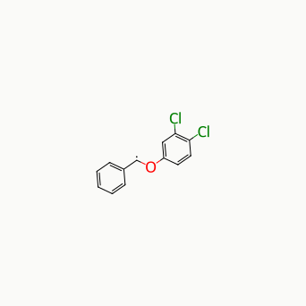 Clc1ccc(O[CH]c2ccccc2)cc1Cl